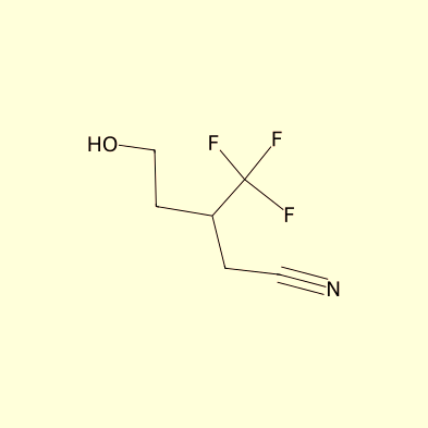 N#CCC(CCO)C(F)(F)F